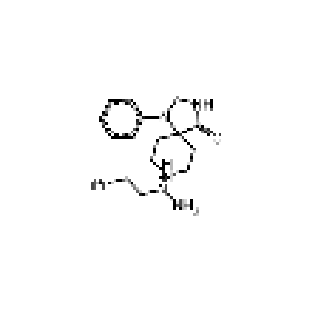 CC(C)CCNN.O=C1NCN(c2ccccc2)C12CCNCC2